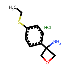 CCSc1ccc(C2(N)COC2)cc1.Cl